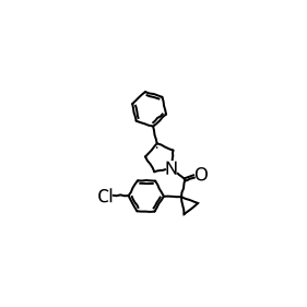 O=C(N1CC[C](c2ccccc2)C1)C1(c2ccc(Cl)cc2)CC1